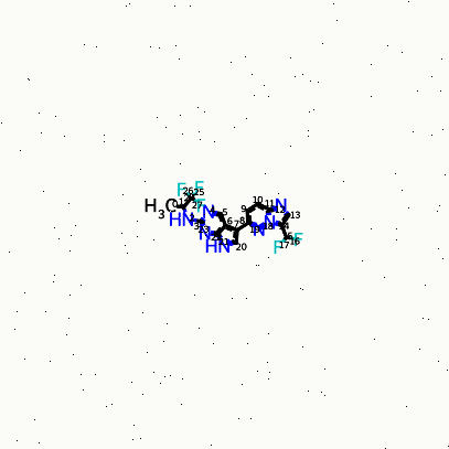 CC(Nc1ncc2c(-c3ccc4ncc(C(F)F)n4n3)c[nH]c2n1)C(F)(F)F